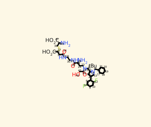 CC(C)(C)[C@H](c1cc(-c2cc(F)ccc2F)cn1Cc1ccccc1)N(CC[C@H](N)C(=O)NCCNC(=O)CC(SC[C@H](N)C(=O)O)C(=O)O)C(=O)CO